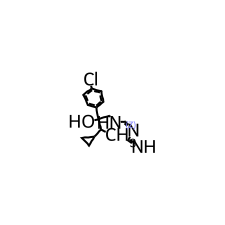 CC(C1CC1)C(O)(CN/C=N\C=N)c1ccc(Cl)cc1